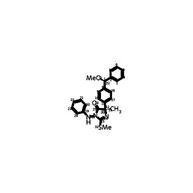 CO[C@@H](c1ccccc1)c1ccc([C@@]2(C)N=C(SC)N(Nc3ccccc3)C2=O)cc1